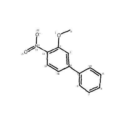 COc1cc(-c2ccccc2)ccc1[N+](=O)[O-]